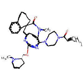 C=CC(=O)N1CCN(c2nc(OC[C@@H]3CCCN3C)nc3c2N(C)C(=O)C2(CCCc4ccccc42)C3)CC1